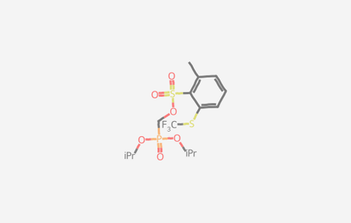 Cc1cccc(SC(F)(F)F)c1S(=O)(=O)OCP(=O)(OC(C)C)OC(C)C